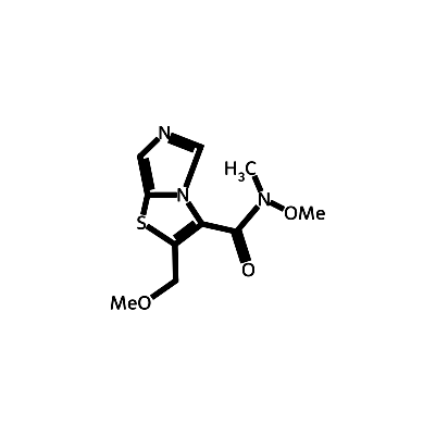 COCc1sc2cncn2c1C(=O)N(C)OC